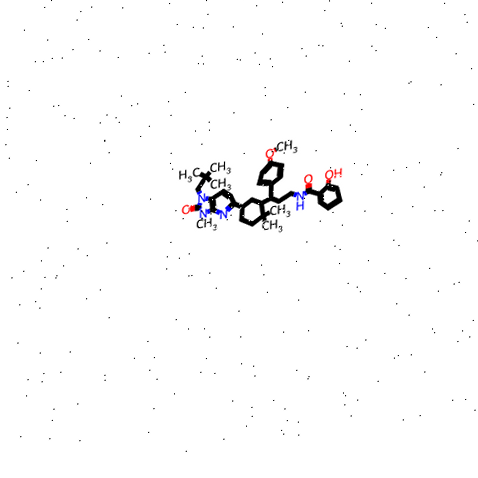 COc1ccc(C(CCNC(=O)c2ccccc2O)C2CC(c3ccc4c(n3)n(C)c(=O)n4CC(C)(C)C)CCC2(C)C)cc1